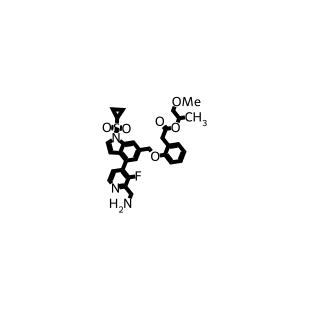 COCC(C)OC(=O)Cc1ccccc1OCc1cc(-c2ccnc(CN)c2F)c2ccn(S(=O)(=O)C3CC3)c2c1